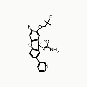 CC(C)(F)COc1cc2c(cc1F)Oc1ccc(-c3cccnc3)cc1[C@@]21COC(N)=N1